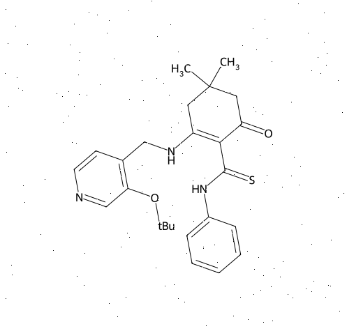 CC1(C)CC(=O)C(C(=S)Nc2ccccc2)=C(NCc2ccncc2OC(C)(C)C)C1